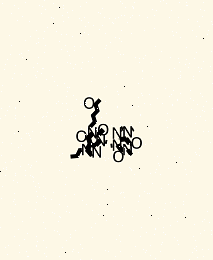 CCCn1cnc2c1c(=O)n(CCCCC(C)=O)c(=O)n2C.Cn1c(=O)c2c(ncn2C)n(C)c1=O